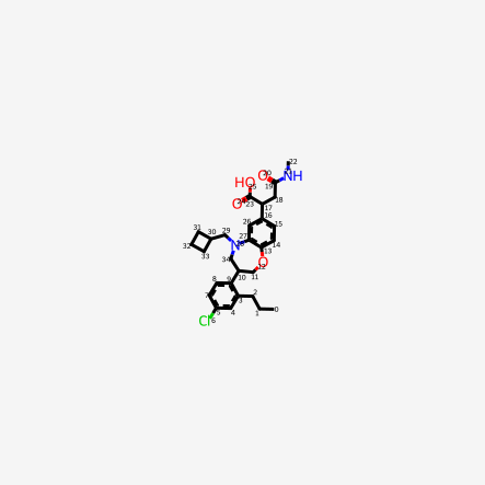 CCCc1cc(Cl)ccc1C1COc2ccc(C(CC(=O)NC)C(=O)O)cc2N(CC2CCC2)C1